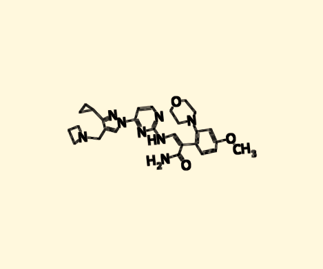 COc1ccc(C(=CNc2nccc(-n3cc(CN4CCC4)c(C4CC4)n3)n2)C(N)=O)c(N2CCOCC2)c1